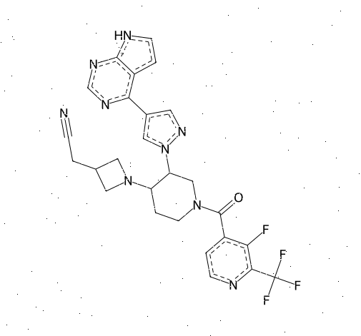 N#CCC1CN(C2CCN(C(=O)c3ccnc(C(F)(F)F)c3F)CC2n2cc(-c3ncnc4[nH]ccc34)cn2)C1